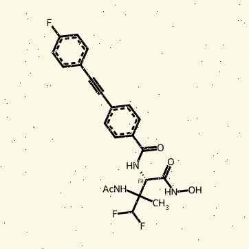 CC(=O)NC(C)(C(F)F)[C@H](NC(=O)c1ccc(C#Cc2ccc(F)cc2)cc1)C(=O)NO